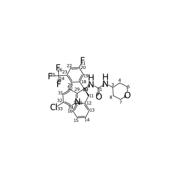 O=C(NC1CCOCC1)N[C@@](Cc1ccccc1)(c1cc(F)cc(C(F)(F)F)c1)c1ccc(Cl)cn1